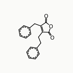 O=C1OC(=O)C(Cc2ccccc2)=C1CCc1ccccc1